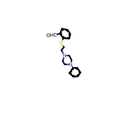 O=Cc1ccccc1SCCN1CCN(c2ccccc2)CC1